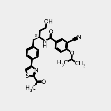 CC(=O)c1nc(-c2ccc(C[C@@H](CCO)NC(=O)c3ccc(OC(C)C)c(C#N)c3)cc2)cs1